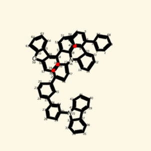 c1ccc(-c2ccccc2-c2ccccc2N(c2ccc(-c3cccc(-c4cccc(-n5c6ccccc6c6ccccc65)c4)c3)cc2)c2ccccc2-c2cccc3oc4ccccc4c23)cc1